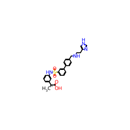 C[C@H](C(=O)O)c1cccc(NS(=O)(=O)c2cccc(-c3ccc(CNCCc4c[nH]cn4)cc3)c2)c1